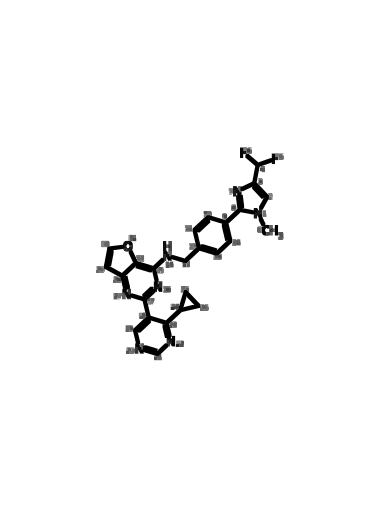 Cn1cc(C(F)F)nc1-c1ccc(CNc2nc(-c3cncnc3C3CC3)nc3ccoc23)cc1